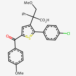 COCC(C(=O)O)(c1cc(C(=O)c2ccc(OC)cc2)sc1-c1ccc(Cl)cc1)C(C)C